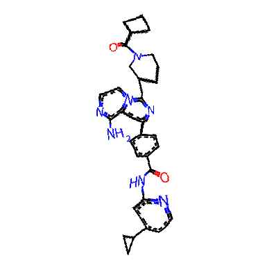 Nc1nccn2c(C3CCCN(C(=O)C4CCC4)C3)nc(-c3ccc(C(=O)Nc4cc(C5CC5)ccn4)cc3)c12